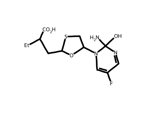 CCC(CC1OC(N2C=C(F)C=NC2(N)O)CS1)C(=O)O